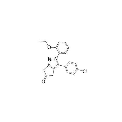 CCOc1ccccc1-n1nc2c(c1-c1ccc(Cl)cc1)CC(=O)C2